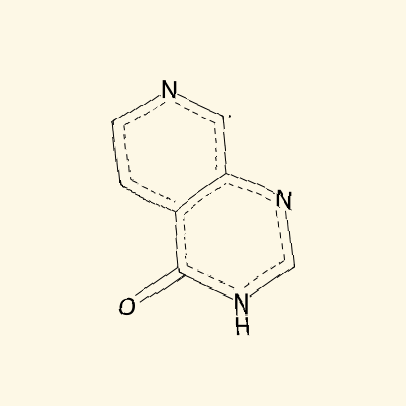 O=c1[nH]cnc2[c]nccc12